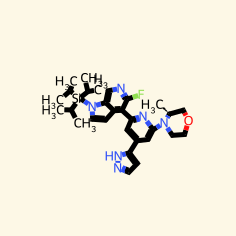 CC(C)[Si](C(C)C)(C(C)C)n1ccc2c(-c3cc(-c4ccn[nH]4)cc(N4CCOC[C@H]4C)n3)c(F)ncc21